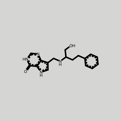 O=c1[nH]cnc2c(CNC(CO)CCc3ccccc3)c[nH]c12